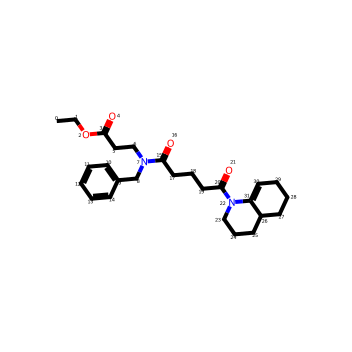 CCOC(=O)CCN(Cc1ccccc1)C(=O)CCCC(=O)N1CCCC2CCCC=C21